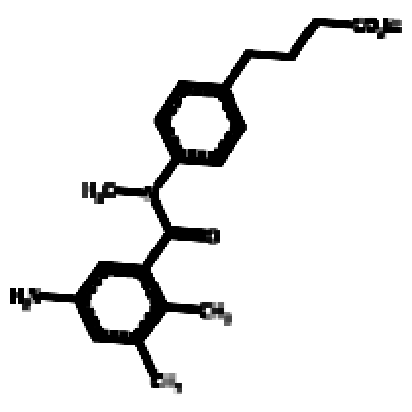 CCOC(=O)CCCc1ccc(N(C)C(=O)c2cc(N)cc(C)c2C)cc1